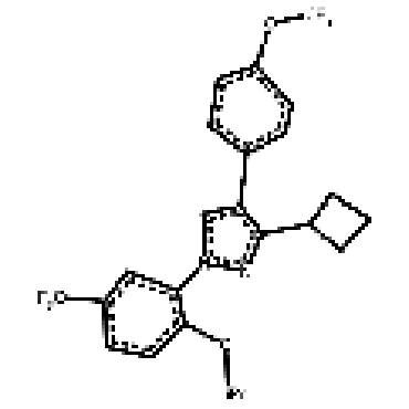 CC(C)Oc1ccc(C(F)(F)F)cc1-n1cc(-c2ccc(OC(F)(F)F)cc2)c(C2CCC2)n1